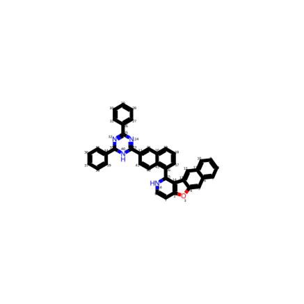 C1=Cc2oc3cc4ccccc4cc3c2C(c2cccc3cc(C4=NC(c5ccccc5)=NC(c5ccccc5)N4)ccc23)N1